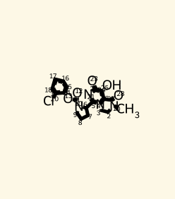 CN1CCn2c(C3CCCN3C(=O)Oc3ccccc3Cl)nc(=O)c(O)c2C1=O